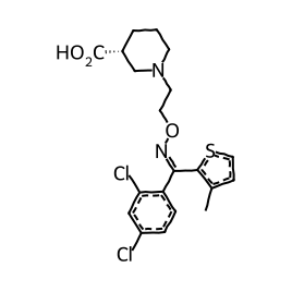 Cc1ccsc1C(=NOCCN1CCC[C@@H](C(=O)O)C1)c1ccc(Cl)cc1Cl